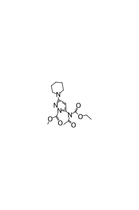 CCOC(=O)N(C(C)=O)c1cc(N2CCCCC2)nn1C(=O)OC